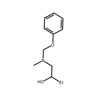 CCC(O)CN(C)COc1ccccc1